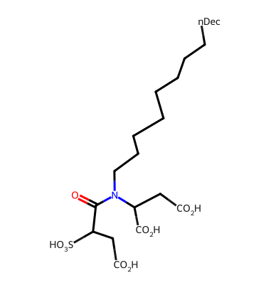 CCCCCCCCCCCCCCCCCCN(C(=O)C(CC(=O)O)S(=O)(=O)O)C(CC(=O)O)C(=O)O